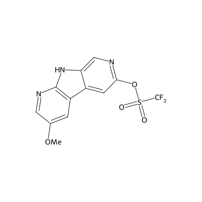 COc1cnc2[nH]c3cnc(OS(=O)(=O)C(F)(F)F)cc3c2c1